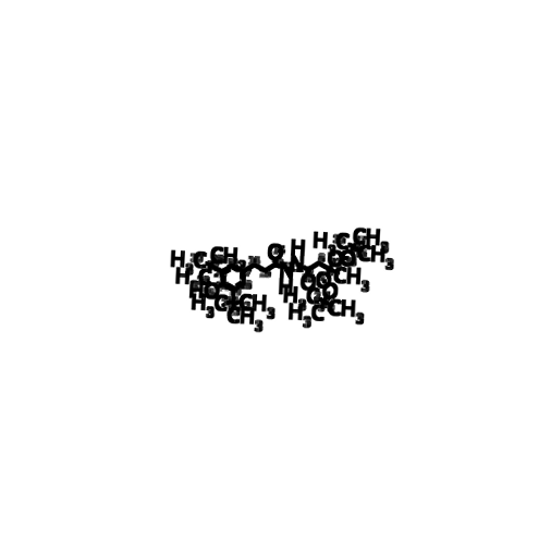 CC(C)(C)OOC(C)(CC(=O)NNC(=O)CCc1cc(C(C)(C)C)c(O)c(C(C)(C)C)c1)OOC(C)(C)C